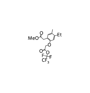 CCc1cc(OCC(=O)OC(F)(F)C(F)(F)F)c(CC(=O)OC)cc1C